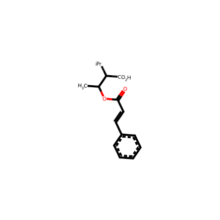 CC(C)C(C(=O)O)C(C)OC(=O)C=Cc1ccccc1